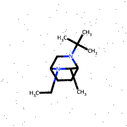 CCN1C2CCC(C1C)N(C(C)(C)C)C2